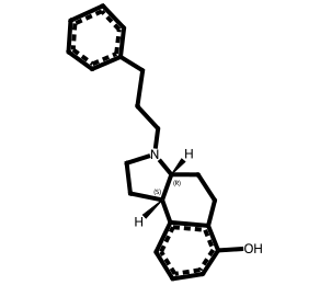 Oc1cccc2c1CC[C@@H]1[C@H]2CCN1CCCc1ccccc1